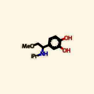 COCC(NC(C)C)c1ccc(O)c(O)c1